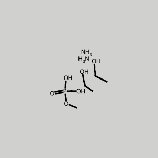 CCO.CCO.COP(=O)(O)O.N.N